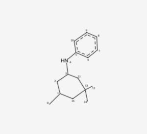 CC1CC(Nc2ccccc2)CC(C)(C)C1